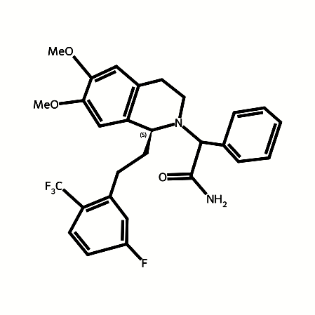 COc1cc2c(cc1OC)[C@H](CCc1cc(F)ccc1C(F)(F)F)N(C(C(N)=O)c1ccccc1)CC2